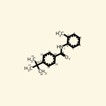 Cc1[c]cccc1NC(=O)c1ccc(C(C)(C)C)cc1